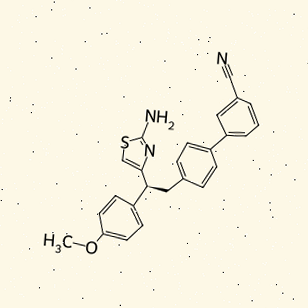 COc1ccc([C@H](Cc2ccc(-c3cccc(C#N)c3)cc2)c2csc(N)n2)cc1